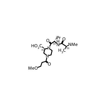 CN[C@@H](C)C(=O)N[C@H](C(=O)N1CCN(C(=O)CCOC)C[C@H]1C(=O)O)C(C)C